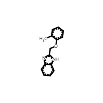 Cc1ccccc1OCc1nc2ccccc2[nH]1